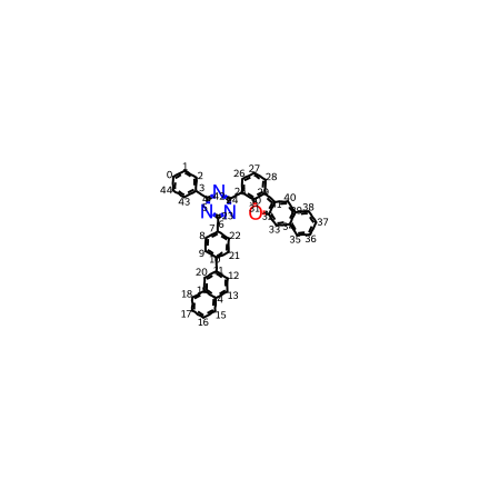 c1ccc(-c2nc(-c3ccc(-c4ccc5ccccc5c4)cc3)nc(-c3cccc4c3oc3cc5ccccc5cc34)n2)cc1